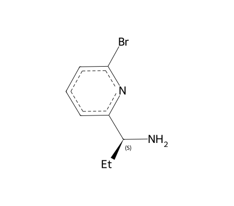 CC[C@H](N)c1cccc(Br)n1